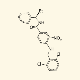 CC[C@@H](NC(=O)c1ccc(NCc2c(Cl)cccc2Cl)c([N+](=O)[O-])c1)c1ccccc1